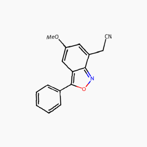 COc1cc(CC#N)c2noc(-c3ccccc3)c2c1